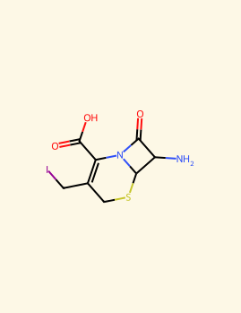 NC1C(=O)N2C(C(=O)O)=C(CI)CSC12